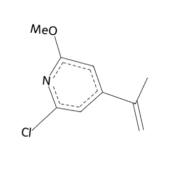 C=C(C)c1cc(Cl)nc(OC)c1